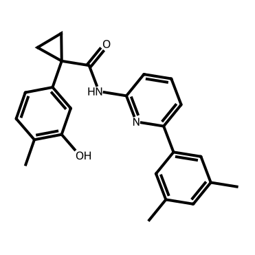 Cc1cc(C)cc(-c2cccc(NC(=O)C3(c4ccc(C)c(O)c4)CC3)n2)c1